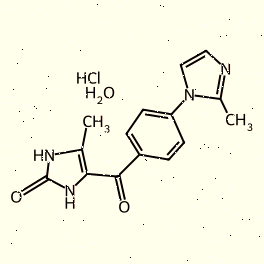 Cc1[nH]c(=O)[nH]c1C(=O)c1ccc(-n2ccnc2C)cc1.Cl.O